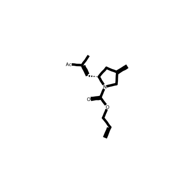 C=CCOC(=O)N1CC(=C)C[C@H]1/C=C(\C)C(C)=O